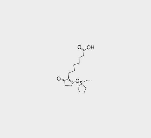 CC[Si](CC)(CC)OC1=C(CCCCCCC(=O)O)C(=O)CC1